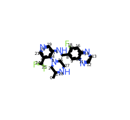 CC1CN(c2c(NCc3cc4nccnc4cc3F)cncc2C(F)F)CCN1